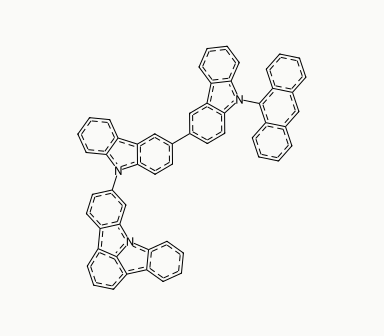 c1ccc2c(-n3c4ccccc4c4cc(-c5ccc6c(c5)c5ccccc5n6-c5ccc6c7cccc8c9ccccc9n(c6c5)c87)ccc43)c3ccccc3cc2c1